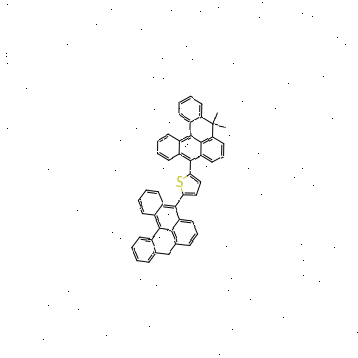 CC1(C)c2ccccc2-c2c3ccccc3c(-c3ccc(-c4c5ccccc5c5c6c(cccc46)Cc4ccccc4-5)s3)c3cccc1c23